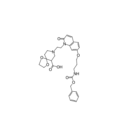 O=C(NCCCOc1ccc2ccc(=O)n(CCN3CCC4(OCCO4)C(C(=O)O)C3)c2c1)OCc1ccccc1